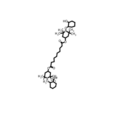 CC1(C)CC(OC(=O)CCCCCCCCC(=O)OC2CC(C)(C)N(OC3CCCCC3O)C(C)(C)C2)CC(C)(C)N1OC1CCCCC1O